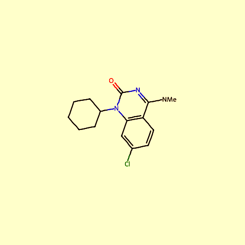 CNc1nc(=O)n(C2CCCCC2)c2cc(Cl)ccc12